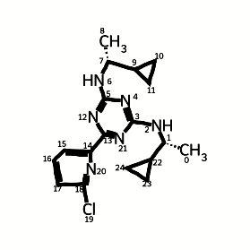 C[C@@H](Nc1nc(N[C@H](C)C2CC2)nc(-c2cccc(Cl)n2)n1)C1CC1